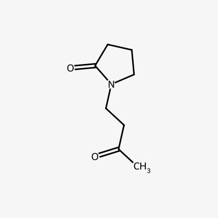 CC(=O)CCN1CCCC1=O